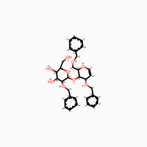 OCC1OC(OC2C(OCc3ccccc3)C=COC2COCc2ccccc2)C(OCc2ccccc2)C(O)C1O